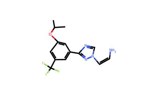 CC(C)Oc1cc(-c2ncn(/C=C\N)n2)cc(C(F)(F)F)c1